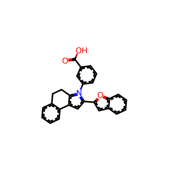 O=C(O)c1cccc(-n2c(-c3cc4ccccc4o3)cc3c2CCc2ccccc2-3)c1